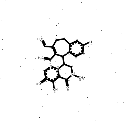 C=CC1=C(C=C)C(C2CN(C)C(=O)c3c(O)c(=O)cnn32)c2ccc(Cl)cc2CC1